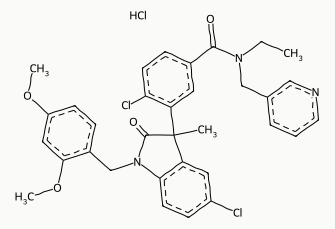 CCN(Cc1cccnc1)C(=O)c1ccc(Cl)c(C2(C)C(=O)N(Cc3ccc(OC)cc3OC)c3ccc(Cl)cc32)c1.Cl